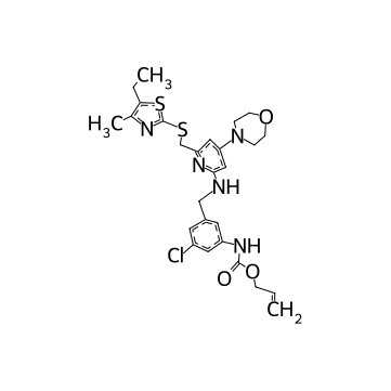 C=CCOC(=O)Nc1cc(Cl)cc(CNc2cc(N3CCOCC3)cc(CSc3nc(C)c(CC)s3)n2)c1